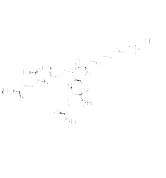 CNCCOCCOCC(=O)NC(CCC(=O)NC(CCC(=O)O)C(=O)O)C(=O)NC(CCC(=O)O)C(=O)O